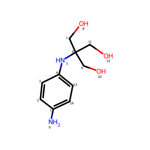 Nc1ccc(NC(CO)(CO)CO)cc1